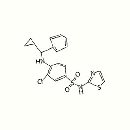 O=S(=O)(Nc1nccs1)c1ccc(NC(c2ccccc2)C2CC2)c(Cl)c1